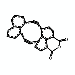 O=C1OC(=O)c2ccc3c#cc4cccc5cccc(c#cc6ccc1c2c63)c45